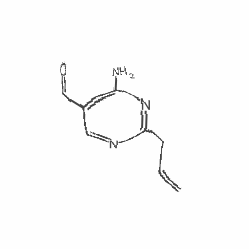 C=CCc1ncc(C=O)c(N)n1